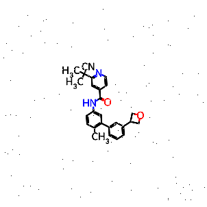 Cc1ccc(NC(=O)c2ccnc(C(C)(C)C#N)c2)cc1-c1cccc(C2COC2)c1